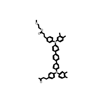 COCCOC(=O)CCc1ccc(N(c2ccc(-c3ccc(-c4ccc(N(c5ccc(CCC(C)=O)cc5)c5ccc(C)c(C)c5)cc4)cc3)cc2)c2ccc(C)c(C)c2)cc1